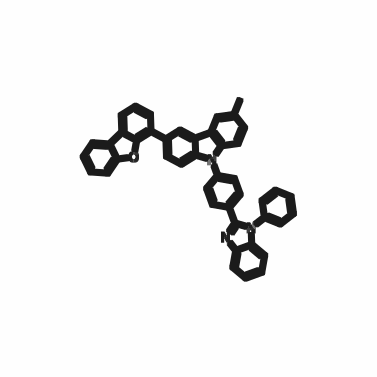 Cc1ccc2c(c1)c1cc(-c3cccc4c3oc3ccccc34)ccc1n2-c1ccc(-c2nc3ccccc3n2-c2ccccc2)cc1